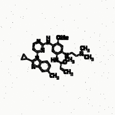 C=CC(=O)Nc1cc(Nc2nccc(-n3c(C4CC4)nc4cc(C)ccc43)n2)c(OC)cc1N(C)CCN(C)C